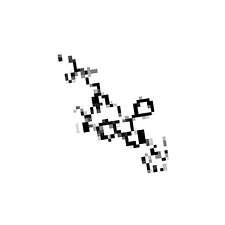 CC(C)CC(=O)NCCCCCCN1C2=CC(NC(=O)OC(C)(C)C)=CCC2=c2ccc(NC(=O)OC(C)(C)C)cc2=C1c1ccccc1